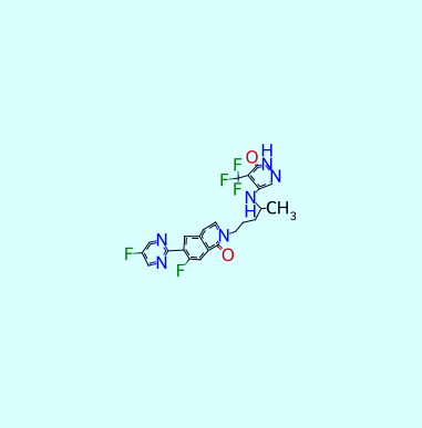 CC(CCCn1ccc2cc(-c3ncc(F)cn3)c(F)cc2c1=O)Nc1cn[nH]c(=O)c1C(F)(F)F